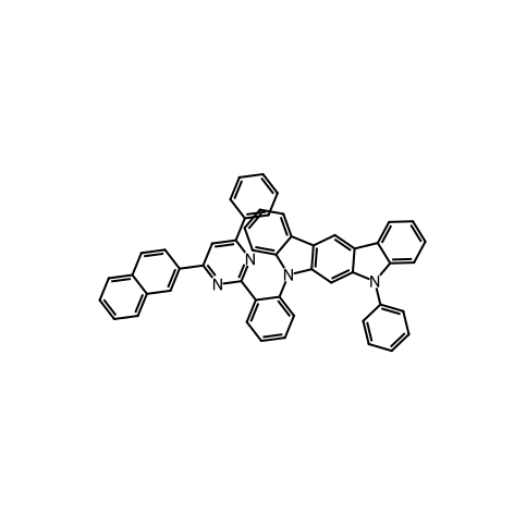 c1ccc(-c2cc(-c3ccc4ccccc4c3)nc(-c3ccccc3-n3c4ccccc4c4cc5c6ccccc6n(-c6ccccc6)c5cc43)n2)cc1